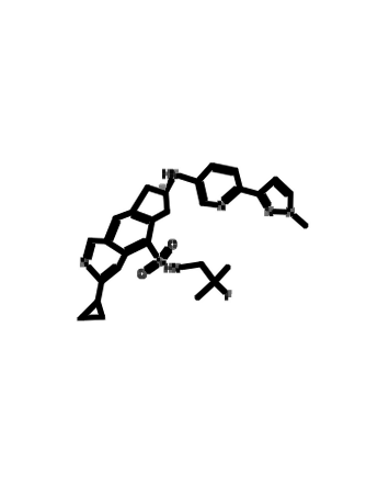 Cn1ccc(-c2ccc(N[C@@H]3Cc4cc5cnc(C6CC6)cc5c(S(=O)(=O)NCC(C)(C)F)c4C3)cn2)n1